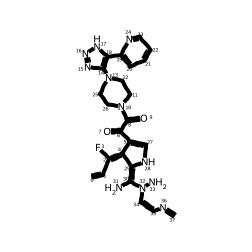 C=C/C(F)=c1/c(C(=O)C(=O)N2CCN(c3nn[nH]c3-c3ccccn3)CC2)c[nH]/c1=C(/N)N(N)/C=C\N=C